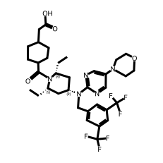 CC[C@@H]1C[C@H](N(Cc2cc(C(F)(F)F)cc(C(F)(F)F)c2)c2ncc(N3CCOCC3)cn2)C[C@H](CC)N1C(=O)C1CCC(CC(=O)O)CC1